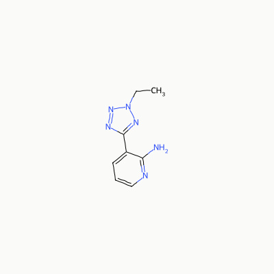 CCn1nnc(-c2cccnc2N)n1